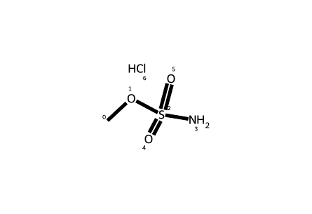 COS(N)(=O)=O.Cl